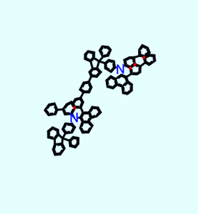 c1ccc(-c2ccc(-c3c(N(c4ccc(-c5ccccc5)cc4)c4ccc(C5(c6ccccc6)c6ccccc6-c6cc(-c7ccc(-c8cccc(-c9c(N(c%10ccc(C%11(c%12ccccc%12)c%12ccccc%12-c%12ccccc%12%11)cc%10)c%10cccc(-c%11ccccc%11)c%10)c%10ccccc%10c%10ccccc9%10)c8)cc7)ccc65)cc4)c4ccccc4c4ccccc34)cc2)cc1